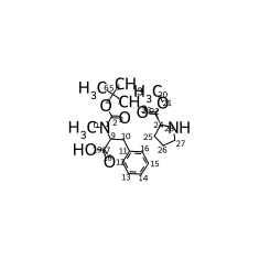 CN(C(=O)OC(C)(C)C)C(Cc1ccccc1)C(=O)O.COC(=O)[C@@H]1CCCN1